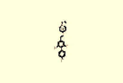 CCC[Si@H]1CC[C@H](CCc2cc(F)c(-c3ccc(F)cc3)c(F)c2)CC1